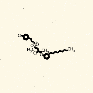 CCCCCCCCCc1cccc(O/C(C)=C(Cl)/C=C(\C)S(=O)(=O)NCCc2ccc(Cl)cc2)c1